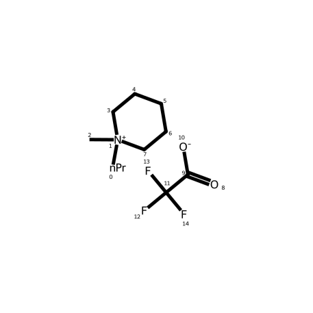 CCC[N+]1(C)CCCCC1.O=C([O-])C(F)(F)F